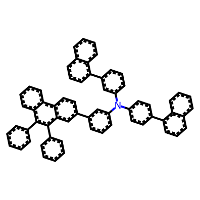 c1ccc(-c2c(-c3ccccc3)c3cc(-c4cccc(N(c5ccc(-c6cccc7ccccc67)cc5)c5cccc(-c6cccc7ccccc67)c5)c4)ccc3c3ccccc23)cc1